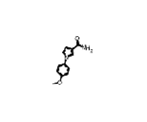 COc1ccc(-n2ccc(C(N)=O)c2)cc1